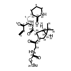 C=CC(=O)[C@H](C[C@@H]1CCCNC1=O)NC(=O)[C@@H]1[C@@H]2[C@H](CN1C(=O)CNC(=O)OC(C)(C)C)C2(C)C